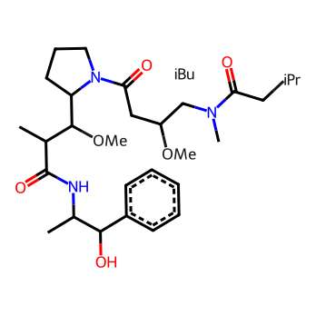 CC[C@H](C)C(C(CC(=O)N1CCCC1C(OC)C(C)C(=O)NC(C)C(O)c1ccccc1)OC)N(C)C(=O)CC(C)C